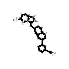 C#Cc1cccc(-c2cnc3ccc(Cc4nnc5ccc(C)nn45)cc3c2)c1